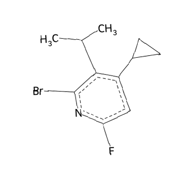 CC(C)c1c(C2CC2)cc(F)nc1Br